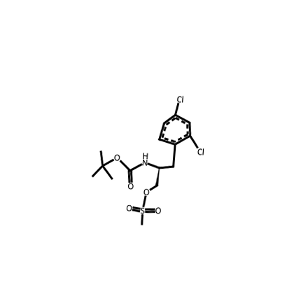 CC(C)(C)OC(=O)N[C@H](COS(C)(=O)=O)Cc1ccc(Cl)cc1Cl